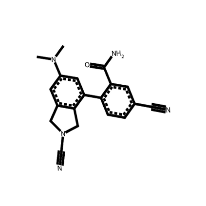 CN(C)c1cc2c(c(-c3ccc(C#N)cc3C(N)=O)c1)CN(C#N)C2